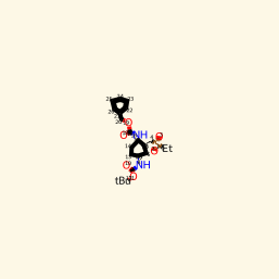 CCS(=O)(=O)C[C@@H]1C[C@H](NC(=O)OC(C)(C)C)CC[C@@H]1NC(=O)OCc1ccccc1